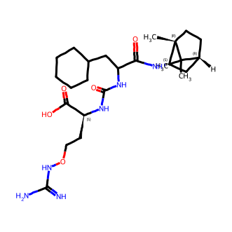 CC1(C)[C@@H]2CC[C@@]1(C)[C@@H](NC(=O)C(CC1CCCCC1)NC(=O)N[C@@H](CCONC(=N)N)C(=O)O)C2